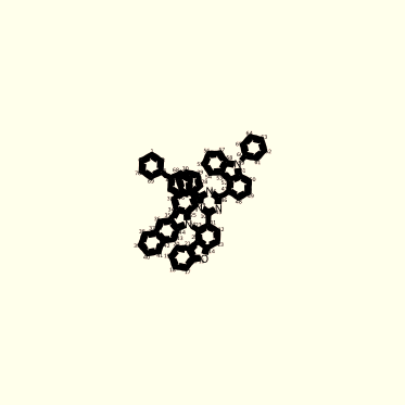 c1ccc(-c2ccc(-c3nc(-c4ccc5oc6ccccc6c5c4-n4c5cc6ccccc6cc5c5cc6ccccc6cc54)nc(-c4cccc5c4c4ccccc4n5-c4ccccc4)n3)cc2)cc1